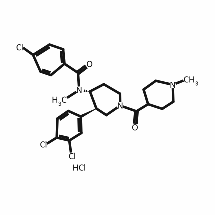 CN1CCC(C(=O)N2CC[C@@H](N(C)C(=O)c3ccc(Cl)cc3)[C@H](c3ccc(Cl)c(Cl)c3)C2)CC1.Cl